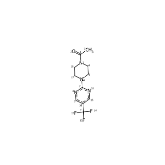 CC(=O)N1CCN(c2ncc(C(F)(F)F)cn2)CC1